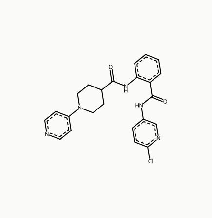 O=C(Nc1ccc(Cl)nc1)c1ccccc1NC(=O)C1CCN(c2ccncc2)CC1